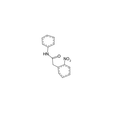 O=C(Cc1ccccc1[N+](=O)[O-])Nc1ccccc1